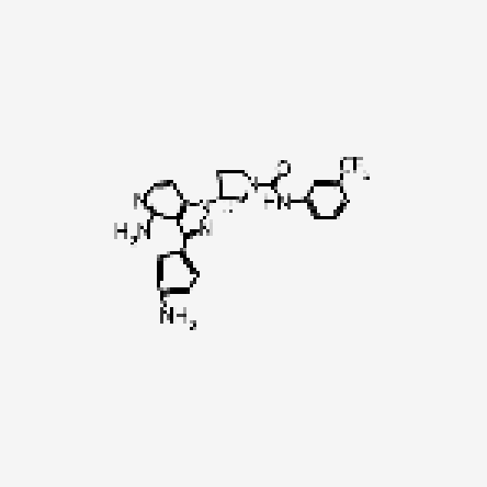 Nc1ccc(-c2nn([C@H]3CCN(C(=O)Nc4cccc(C(F)(F)F)c4)C3)c3ccnc(N)c23)cc1